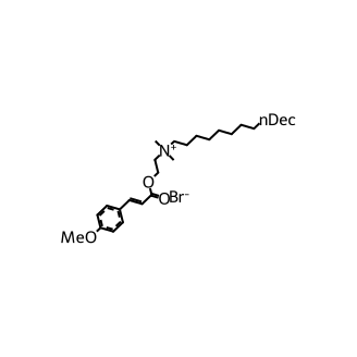 CCCCCCCCCCCCCCCCCC[N+](C)(C)CCOC(=O)C=Cc1ccc(OC)cc1.[Br-]